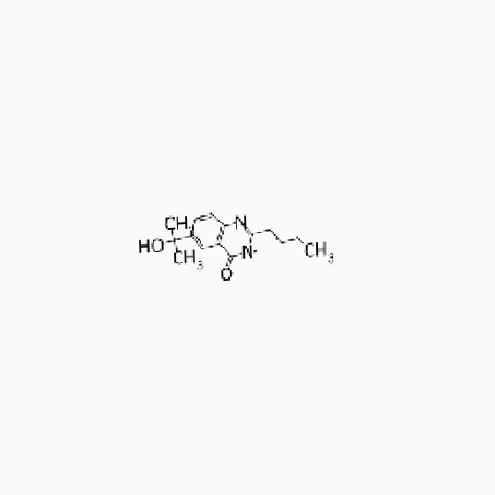 CCCCC1=Nc2ccc(C(C)(C)O)cc2C(=O)[N]1